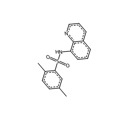 Cc1ccc(C)c(S(=O)(=O)Nc2cccc3cccnc23)c1